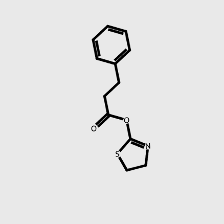 O=C(CCc1ccccc1)OC1=NCCS1